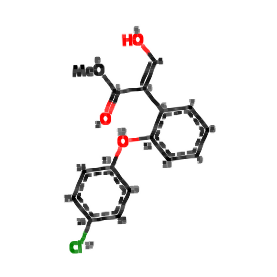 COC(=O)C(=CO)c1ccccc1Oc1ccc(Cl)cc1